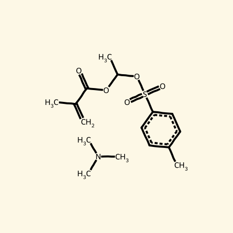 C=C(C)C(=O)OC(C)OS(=O)(=O)c1ccc(C)cc1.CN(C)C